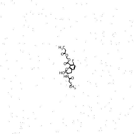 CCC(=O)OCOC(=O)c1c(F)ccc2c1OB(O)[C@@H](NC(=O)CSC)C2